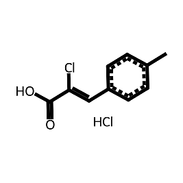 Cc1ccc(C=C(Cl)C(=O)O)cc1.Cl